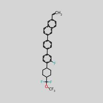 C=Cc1ccc2cc(-c3ccc(-c4ccc(C5CCC(C(F)(F)OC(F)(F)F)CC5)c(F)c4)cc3)ccc2c1